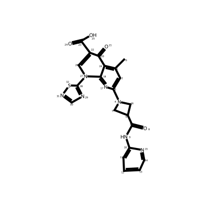 Cc1cc(N2CC(C(=O)Nc3ccccn3)C2)nc2c1c(=O)c(C(=O)O)cn2-c1ncns1